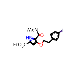 CCOC(=O)c1cc(OCCc2ccc(I)cc2)c(C(=O)NC)[nH]1